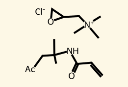 C=CC(=O)NC(C)(C)CC(C)=O.C[N+](C)(C)CC1CO1.[Cl-]